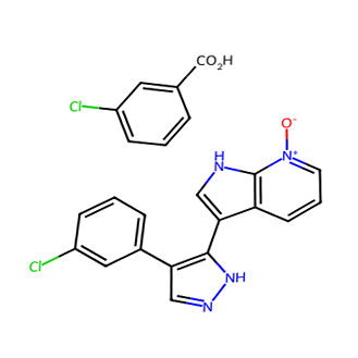 O=C(O)c1cccc(Cl)c1.[O-][n+]1cccc2c(-c3[nH]ncc3-c3cccc(Cl)c3)c[nH]c21